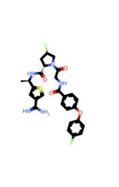 C[C@@H](NC(=O)[C@@H]1C[C@@H](F)CN1C(=O)CNC(=O)c1ccc(Oc2ccc(F)cc2)cc1)c1cc(C(=N)N)cs1